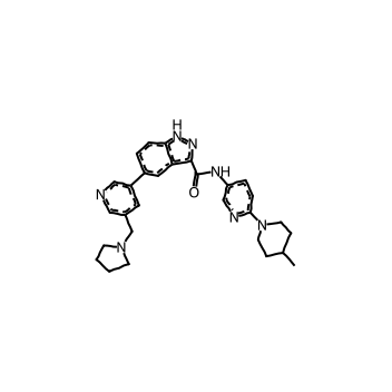 CC1CCN(c2ccc(NC(=O)c3n[nH]c4ccc(-c5cncc(CN6CCCC6)c5)cc34)cn2)CC1